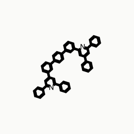 c1ccc(-c2cc(-c3ccccc3)nc(-c3cccc(-c4ccc(-c5cccc(-c6cc(-c7ccccc7)nc(-c7ccccc7)c6)c5)cc4)c3)c2)cc1